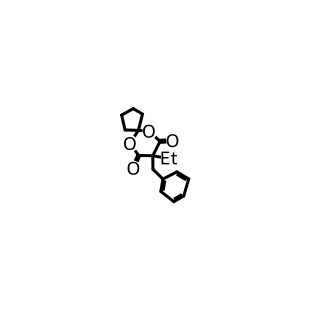 CCC1(Cc2ccccc2)C(=O)OC2(CCCC2)OC1=O